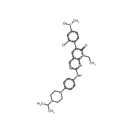 CCn1c(=O)c(-c2ccc([S@+](C)[O-])cc2Cl)cc2cnc(Nc3ccc(N4CCN(C(C)C)CC4)cc3)nc21